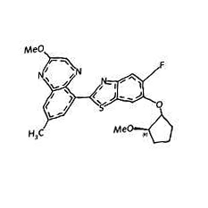 COc1cnc2c(-c3nc4cc(F)c(OC5CCC[C@H]5OC)cc4s3)cc(C)cc2n1